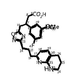 COc1cc(F)cc(C(CC(=O)O)Cc2nc(CCCc3ccc4c(n3)NCCC4)no2)c1.Cl